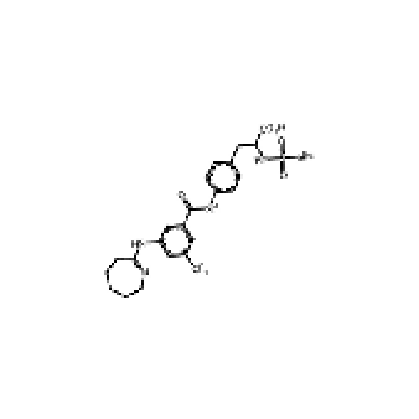 CCCCS(=O)(=O)NC(Cc1ccc(NC(=O)c2cc(NC3=NCCCCC3)cc(C(F)(F)F)c2)cc1)C(=O)O